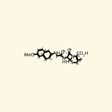 COc1ccc2cc(NCC(=O)NC3C(=O)N4C(C(=O)O)=C(C)CS[C@@H]34)ccc2c1